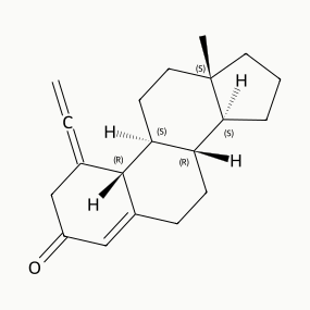 C=C=C1CC(=O)C=C2CC[C@@H]3[C@H](CC[C@]4(C)CCC[C@@H]34)[C@@H]12